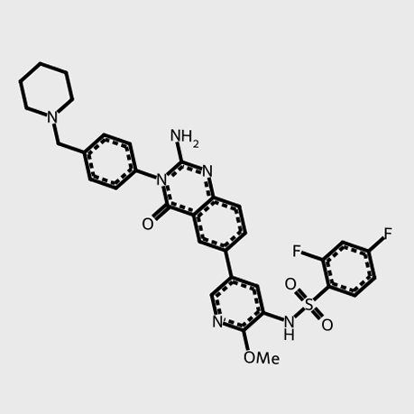 COc1ncc(-c2ccc3nc(N)n(-c4ccc(CN5CCCCC5)cc4)c(=O)c3c2)cc1NS(=O)(=O)c1ccc(F)cc1F